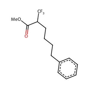 COC(=O)C(CCCCc1ccccc1)C(F)(F)F